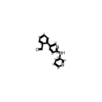 O=Cc1ccccc1-c1ccc(Nc2cccnc2)nc1